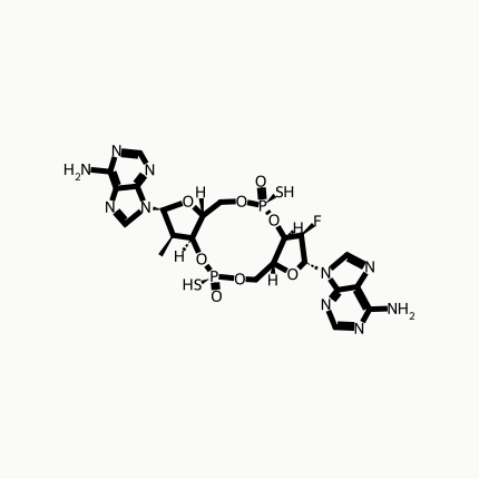 C[C@@H]1[C@@H]2O[P@@](=O)(S)OC[C@H]3O[C@@H](n4cnc5c(N)ncnc54)[C@H](F)[C@@H]3O[P@](=O)(S)OC[C@H]2O[C@H]1n1cnc2c(N)ncnc21